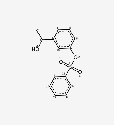 CC(O)c1cccc(OS(=O)(=O)c2ccccc2)c1